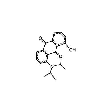 CC(C)N(c1cccc2c1C(=O)c1c(O)cccc1C2=O)C(C)C